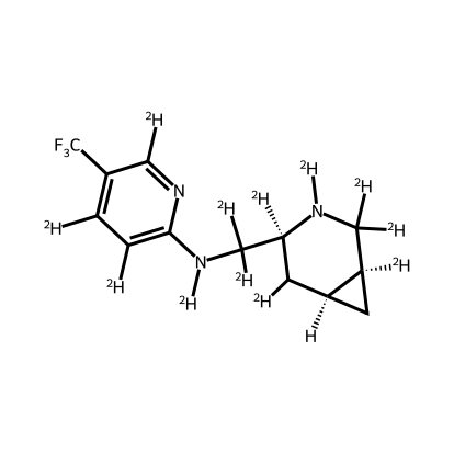 [2H]c1nc(N([2H])C([2H])([2H])[C@]2([2H])C([2H])[C@@H]3C[C@]3([2H])C([2H])([2H])N2[2H])c([2H])c([2H])c1C(F)(F)F